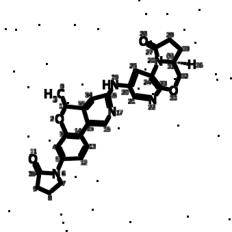 CC1Oc2cc(N3CCCC3=O)ccc2-c2cnc(Nc3cnc4c(c3)N3C(=O)CC[C@H]3CO4)cc21